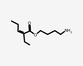 CCC=C(CC)C(=O)OCCCCN